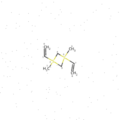 C=CS1(C)CS(C)(C=C)C1